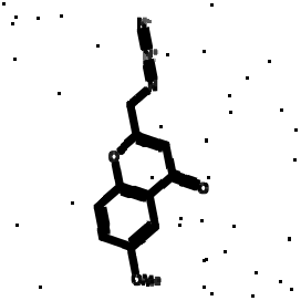 COc1ccc2oc(CN=[N+]=[N-])cc(=O)c2c1